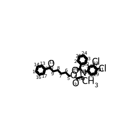 C[C@@H](C(=O)OCCCCCC(=O)c1ccccc1)N(C(=O)c1ccccc1)c1ccc(Cl)c(Cl)c1